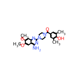 COc1cc2nc(N3CCN(C(=O)c4cc(C)c(O)c(C)c4)CC3)nc(N)c2cc1OC